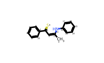 CC(=CC(=S)c1ccccc1)Nc1ccccc1